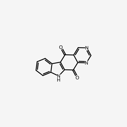 O=C1c2ncncc2C(=O)c2c1[nH]c1ccccc21